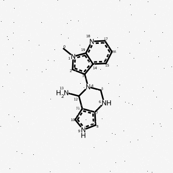 Cn1cc(N2CNc3c[nH]cc3C2N)c2cccnc21